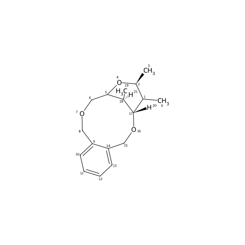 CC1[C@H](C)OC2COCc3ccccc3CO[C@@H]1[C@@H]2C